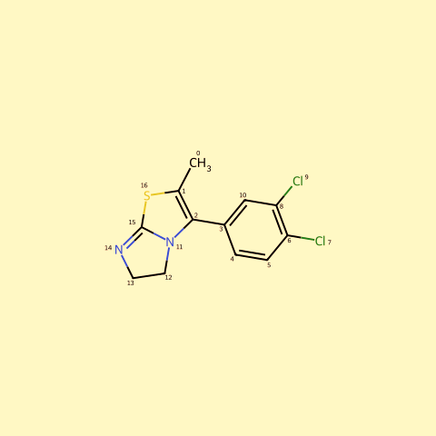 CC1=C(c2ccc(Cl)c(Cl)c2)N2CCN=C2S1